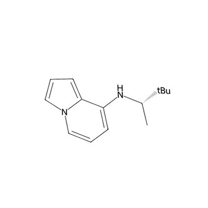 C[C@H](Nc1cccn2cccc12)C(C)(C)C